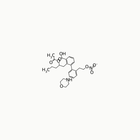 C1COCCN1.CCCC(Cc1c(C(=O)O)cccc1-c1ccccc1CCO[N+](=O)[O-])OC(C)=O